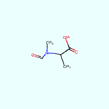 CC(C(=O)O)N(C)[C]=O